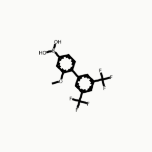 COc1cc(B(O)O)ccc1-c1cc(C(F)(F)F)cc(C(F)(F)F)c1